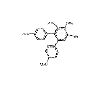 CCCc1[c]c(-c2ccc(OC)cc2)c(-c2ccc(OC)cc2)c(OC)c1OC